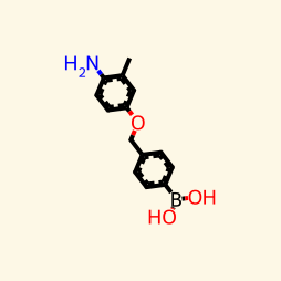 Cc1cc(OCc2ccc(B(O)O)cc2)ccc1N